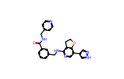 O=C(NCc1ccncc1)c1cccc(CNc2ncc(-c3cn[nH]c3)c3c2CCO3)c1